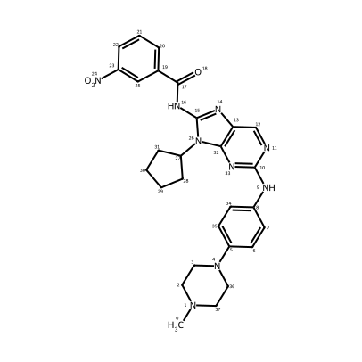 CN1CCN(c2ccc(Nc3ncc4nc(NC(=O)c5cccc([N+](=O)[O-])c5)n(C5CCCC5)c4n3)cc2)CC1